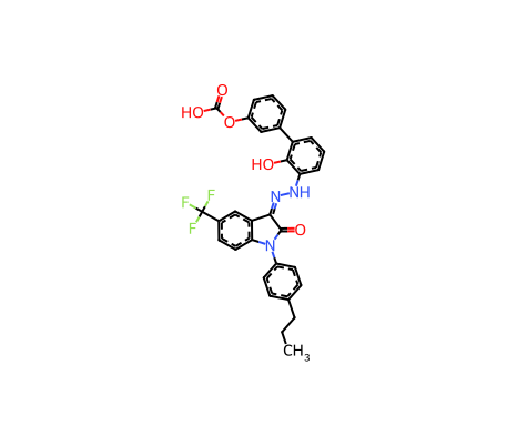 CCCc1ccc(N2C(=O)C(=NNc3cccc(-c4cccc(OC(=O)O)c4)c3O)c3cc(C(F)(F)F)ccc32)cc1